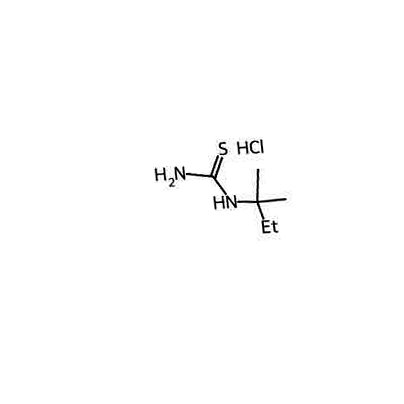 CCC(C)(C)NC(N)=S.Cl